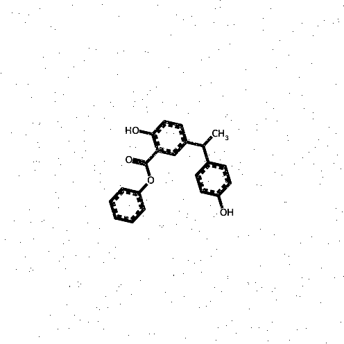 CC(c1ccc(O)cc1)c1ccc(O)c(C(=O)Oc2ccccc2)c1